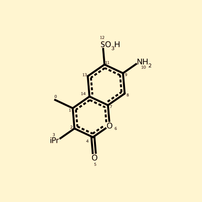 Cc1c(C(C)C)c(=O)oc2cc(N)c(S(=O)(=O)O)cc12